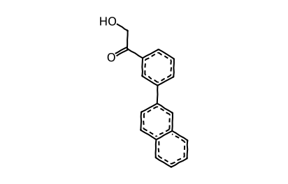 O=C(CO)c1cccc(-c2ccc3ccccc3c2)c1